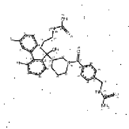 Cc1cccc(-c2c(F)cccc2C(O)(CCCNC(=O)O)[C@@H]2CCCN(C(=O)c3ccc(CNC(=N)N)cc3)C2)c1